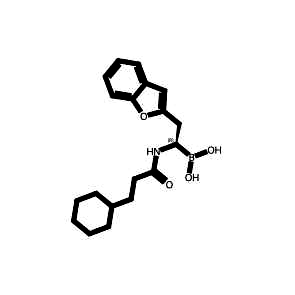 O=C(CCC1CCCCC1)N[C@@H](Cc1cc2ccccc2o1)B(O)O